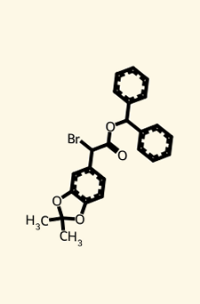 CC1(C)Oc2ccc(C(Br)C(=O)OC(c3ccccc3)c3ccccc3)cc2O1